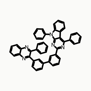 c1ccc(-c2nc3ccccc3nc2-c2cccc(-c3cccc(-c4nc(-c5ccccc5)c5c6ccccc6n(-c6ccccc6)c5n4)c3)c2)cc1